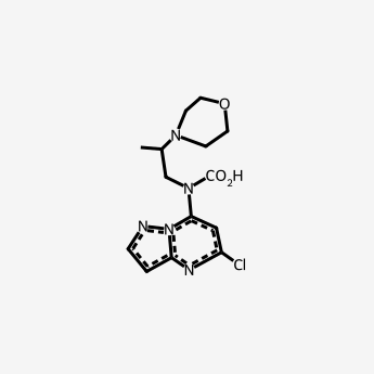 CC(CN(C(=O)O)c1cc(Cl)nc2ccnn12)N1CCOCC1